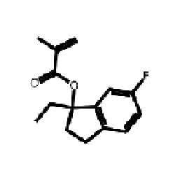 C=C(C)C(=O)OC1(CC)CCc2ccc(F)cc21